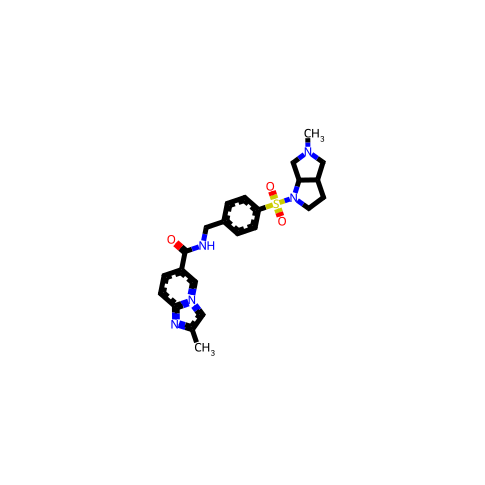 Cc1cn2cc(C(=O)NCc3ccc(S(=O)(=O)N4CCC5CN(C)CC54)cc3)ccc2n1